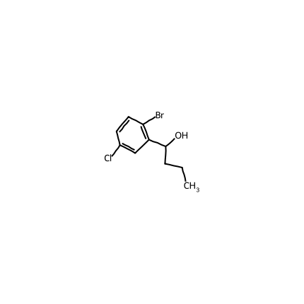 CCCC(O)c1cc(Cl)ccc1Br